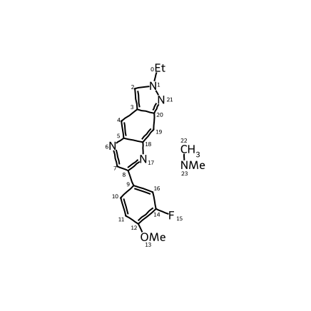 CCn1cc2cc3ncc(-c4ccc(OC)c(F)c4)nc3cc2n1.CNC